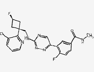 CNC(=O)c1ccc(F)c(-c2cnc(NC[C@]3(c4ncccc4Cl)C[C@H](F)C3)nn2)c1